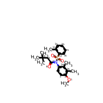 COc1ccc(N(C(=O)CC(C)(C)C)S(=O)(=O)c2ccccc2C)c(C)c1C